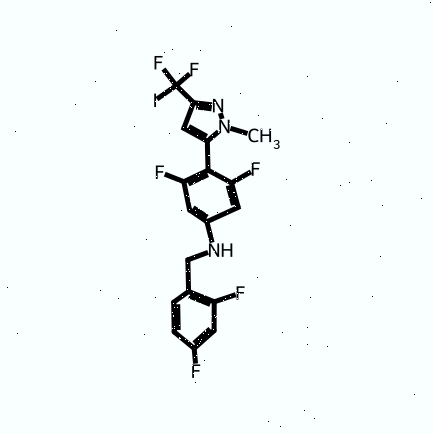 Cn1nc(C(F)(F)I)cc1-c1c(F)cc(NCc2ccc(F)cc2F)cc1F